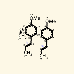 C/C=C/c1ccc(OC)cc1.C/C=C/c1ccc(OC)cc1.C=O